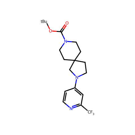 CC(C)(C)OC(=O)N1CCC2(CC1)CCN(c1ccnc(C(F)(F)F)c1)C2